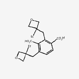 CCC1(Cc2ccc(C(=O)O)c(CC3(CC)COC3)c2C(=O)O)COC1